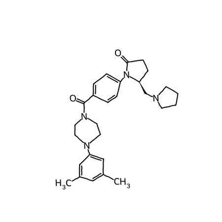 Cc1cc(C)cc(N2CCN(C(=O)c3ccc(N4C(=O)CC[C@H]4CN4CCCC4)cc3)CC2)c1